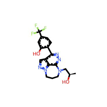 C[C@@H](O)CN1CCCn2ncc3c(-c4ccc(C(F)(F)F)cc4O)nnc1c32